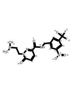 CN(C)CCn1nc(C(=O)NCc2cc([N+](=O)[O-])cc(C(F)(F)F)c2)ccc1=O